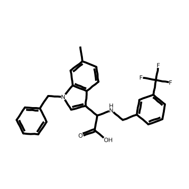 Cc1ccc2c(C(NCc3cccc(C(F)(F)F)c3)C(=O)O)cn(Cc3ccccc3)c2c1